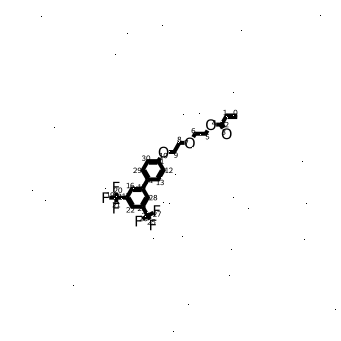 C=CC(=O)OCCOCCOc1ccc(-c2cc(C(F)(F)F)cc(C(F)(F)F)c2)cc1